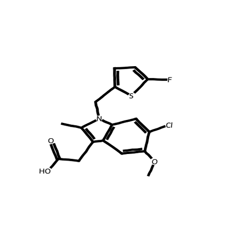 COc1cc2c(CC(=O)O)c(C)n(Cc3ccc(F)s3)c2cc1Cl